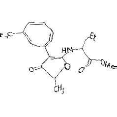 CCC(NC1=C(c2cccc(C(F)(F)F)c2)C(=O)C(C)O1)C(=O)OC